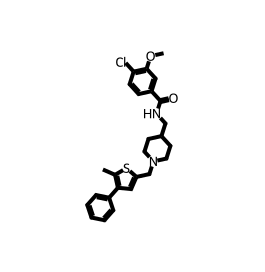 COc1cc(C(=O)NCC2CCN(Cc3cc(-c4ccccc4)c(C)s3)CC2)ccc1Cl